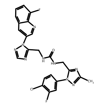 Cc1nc(CNC(=O)NCc2ncnn2-c2cnc3c(F)cccc3c2)n(-c2ccc(Cl)c(F)c2)n1